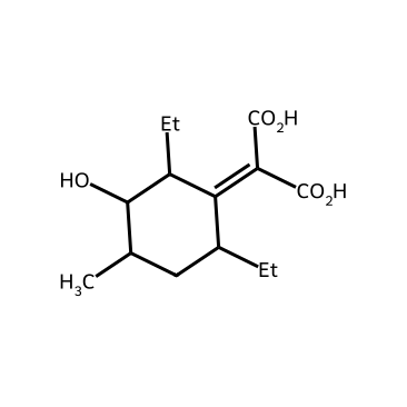 CCC1CC(C)C(O)C(CC)C1=C(C(=O)O)C(=O)O